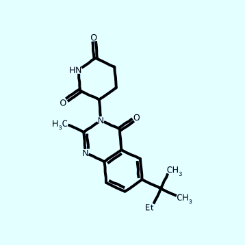 CCC(C)(C)c1ccc2nc(C)n(C3CCC(=O)NC3=O)c(=O)c2c1